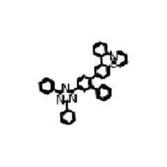 C1=CB2c3ccc(-c4ccc(-c5nc(-c6ccccc6)nc(-c6ccccc6)n5)cc4-c4ccccc4)cc3-c3ccccc3N2C=C1